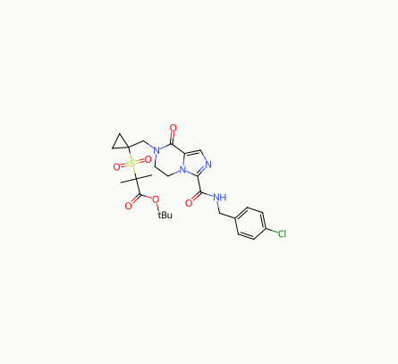 CC(C)(C)OC(=O)C(C)(C)S(=O)(=O)C1(CN2CCn3c(cnc3C(=O)NCc3ccc(Cl)cc3)C2=O)CC1